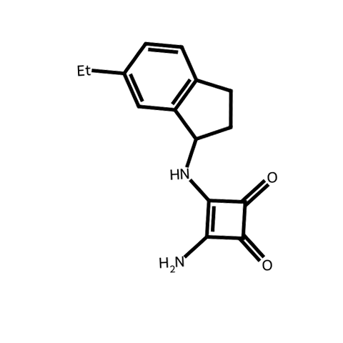 CCc1ccc2c(c1)C(Nc1c(N)c(=O)c1=O)CC2